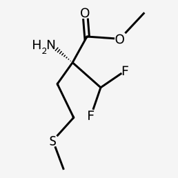 COC(=O)[C@](N)(CCSC)C(F)F